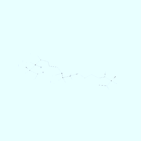 CCC(CC)[C@@](C)(F)C(CC)CCCCC(C)(CC)C(C)(F)C(C)(CC)CCCC(C)C(C)(C(C)C)[C@@](C)(F)C(C(C)C)C(C)C